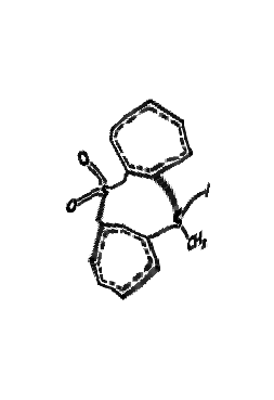 CS1(I)c2ccccc2S(=O)(=O)c2ccccc21